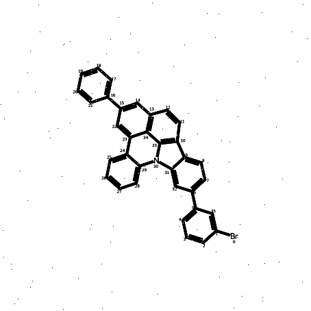 Brc1cccc(-c2ccc3c4ccc5cc(-c6ccccc6)cc6c7ccccc7n(c3c2)c4c56)c1